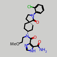 COCCN(C(=O)c1nc[nH]c1C(N)=O)[C@H]1CC[C@@]2(CCN(c3ccccc3Cl)C2=O)CC1